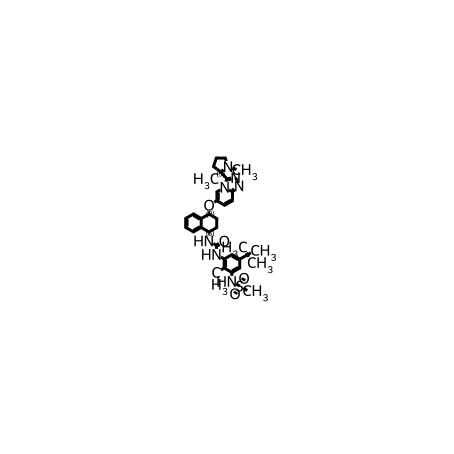 Cc1c(NC(=O)N[C@H]2CC[C@@H](Oc3ccc4nnc([C@]5(C)CCCN5C)n4c3)c3ccccc32)cc(C(C)(C)C)cc1NS(C)(=O)=O